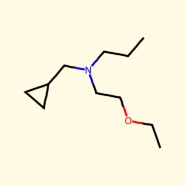 CCCN(CCOCC)CC1CC1